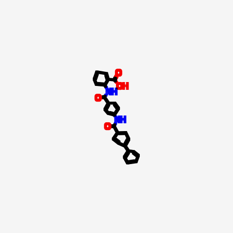 O=C(Nc1ccc(C(=O)Nc2ccccc2C(=O)O)cc1)c1ccc(-c2ccccc2)cc1